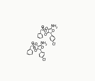 NC1=C(OS(=O)(=O)Cc2ccccc2)C(=O)C(c2ccc(Cl)cc2)O1.NC1=C(OS(=O)(=O)Cc2ccccc2)C(=O)C(c2ccc(Cl)cc2)O1